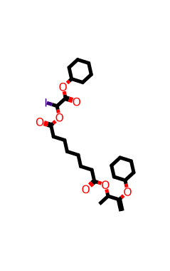 C=C(OC1CCCCC1)C(C)OC(=O)CCCCCCC(=O)OC(I)C(=O)OC1CCCCC1